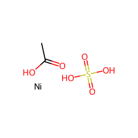 CC(=O)O.O=S(=O)(O)O.[Ni]